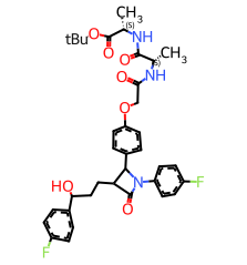 C[C@H](NC(=O)COc1ccc(C2C(CCC(O)c3ccc(F)cc3)C(=O)N2c2ccc(F)cc2)cc1)C(=O)N[C@@H](C)C(=O)OC(C)(C)C